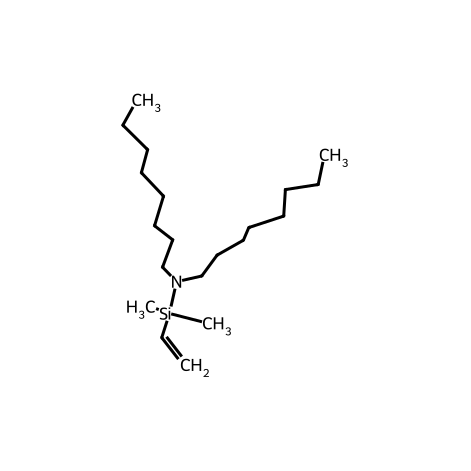 C=C[Si](C)(C)N(CCCCCCCC)CCCCCCCC